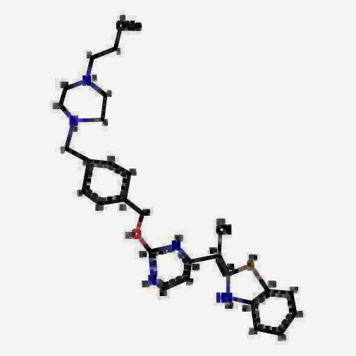 COCCN1CCN(Cc2ccc(COc3nccc(C(C#N)=C4Nc5ccccc5S4)n3)cc2)CC1